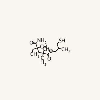 CCC(C)(CC(C)(C)C(=O)OCC(C)CS)C(N)=O